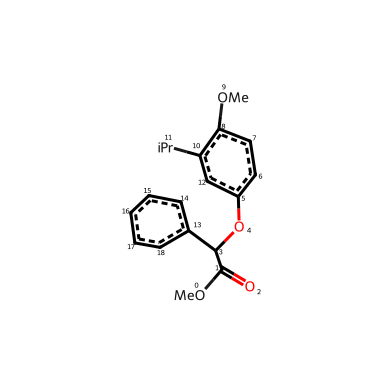 COC(=O)C(Oc1ccc(OC)c(C(C)C)c1)c1ccccc1